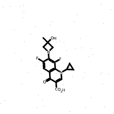 CC1(O)CN(c2c(F)cc3c(=O)c(C(=O)O)cn(C4CC4)c3c2F)C1